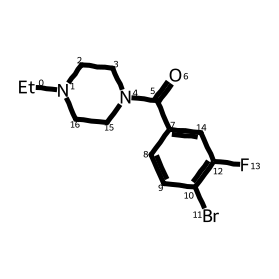 CCN1CCN(C(=O)c2ccc(Br)c(F)c2)CC1